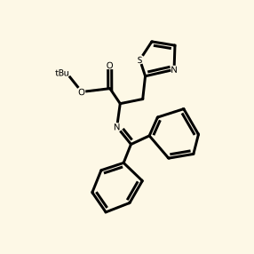 CC(C)(C)OC(=O)C(Cc1nccs1)N=C(c1ccccc1)c1ccccc1